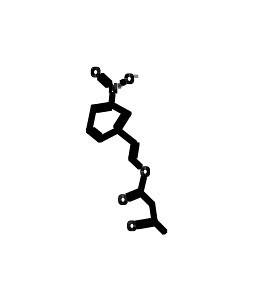 CC(=O)CC(=O)OC=Cc1cccc([N+](=O)[O-])c1